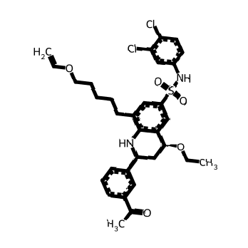 C=COCCCCCc1cc(S(=O)(=O)Nc2ccc(Cl)c(Cl)c2)cc2c1NC(c1cccc(C(C)=O)c1)C[C@@H]2OCC